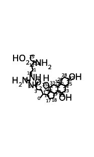 CC(CCC(=O)N=C(N)NCCCC(N)C(=O)O)C1CCC2C3C(O)CC4CC(O)CCC4(C)C3CC(O)C12C